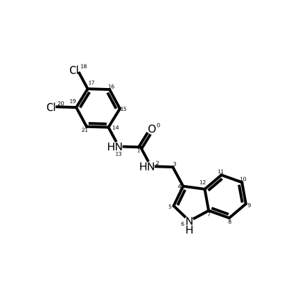 O=C(NCc1c[nH]c2ccccc12)Nc1ccc(Cl)c(Cl)c1